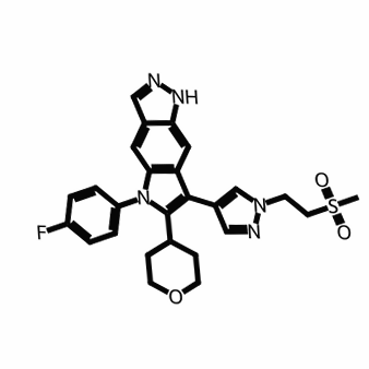 CS(=O)(=O)CCn1cc(-c2c(C3CCOCC3)n(-c3ccc(F)cc3)c3cc4cn[nH]c4cc23)cn1